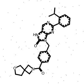 CC(C)c1ccccc1-c1ncc2[nH]c(=O)n(Cc3ccc(C(=O)N4CC5(CCOC5)C4)cc3)c2n1